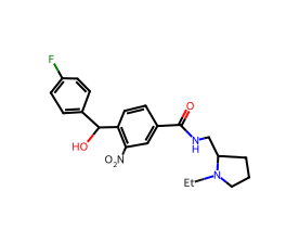 CCN1CCCC1CNC(=O)c1ccc(C(O)c2ccc(F)cc2)c([N+](=O)[O-])c1